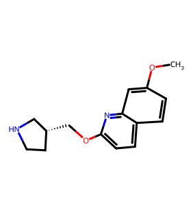 COc1ccc2ccc(OC[C@@H]3CCNC3)nc2c1